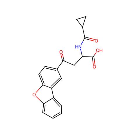 O=C(CC(NC(=O)C1CC1)C(=O)O)c1ccc2oc3ccccc3c2c1